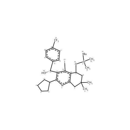 CC1(C)Cc2nc(C3CCCC3)c([C@H](O)c3ccc(C(F)(F)F)cc3)c(I)c2C(O[Si](C)(C)C(C)(C)C)C1